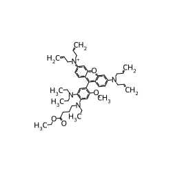 C=CCN(CC=C)c1ccc2c(-c3cc(N(CC)CC)c(N(CC)CCCC(=O)OCC)cc3OC)c3ccc(=[N+](CC=C)CC=C)cc-3oc2c1